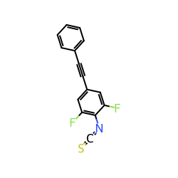 Fc1cc(C#Cc2ccccc2)cc(F)c1N=C=S